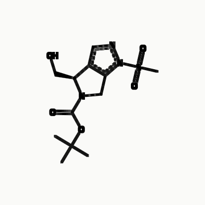 CC(C)(C)OC(=O)N1Cc2c(cnn2S(C)(=O)=O)[C@@H]1CO